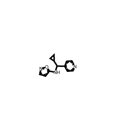 c1cc(C(Nc2ccno2)C2CC2)ccn1